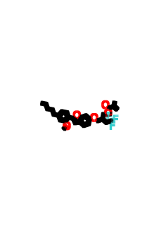 C=C(C)C(=O)OCC(COc1ccc2cc(-c3ccc(CCCCC)cc3OC)oc2c1)CC(F)(F)F